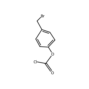 O=C(Cl)Oc1ccc(CBr)cc1